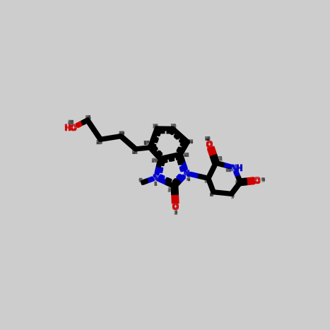 Cn1c(=O)n(C2CCC(=O)NC2=O)c2cccc(CCCCO)c21